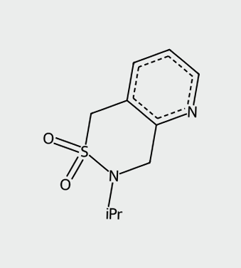 CC(C)N1Cc2ncccc2CS1(=O)=O